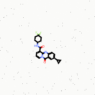 O=C(NC1CCC(F)(F)CC1)c1cccn2c(=O)c3cc(C4CC4)ccc3nc12